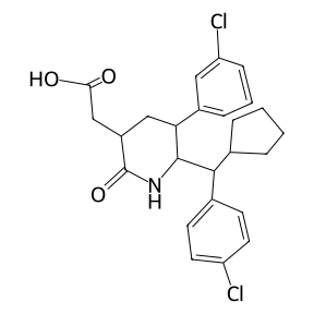 O=C(O)CC1CC(c2cccc(Cl)c2)C(C(c2ccc(Cl)cc2)C2CCCC2)NC1=O